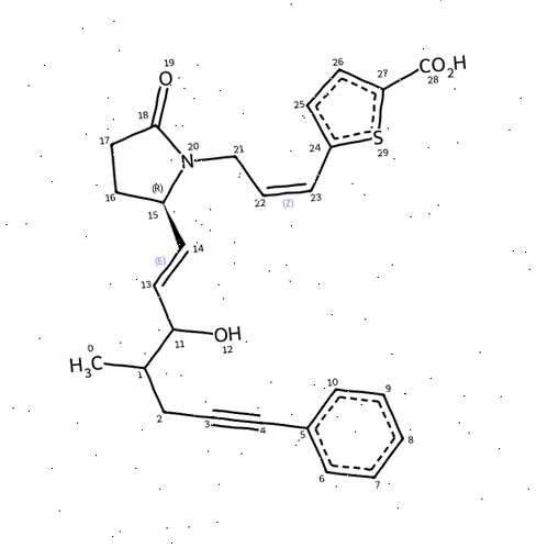 CC(CC#Cc1ccccc1)C(O)/C=C/[C@H]1CCC(=O)N1C/C=C\c1ccc(C(=O)O)s1